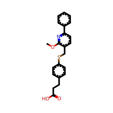 COc1nc(-c2ccccc2)ccc1CSc1ccc(CCC(=O)O)cc1